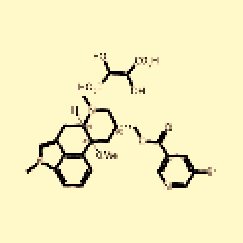 CO[C@@]12C[C@@H](COC(=O)c3cncc(Br)c3)CN(C)[C@@H]1Cc1cn(C)c3cccc2c13.O=C(O)C(O)C(O)C(=O)O